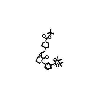 CC(C)(C)OC(=O)N1CCC(CCN2CCCN(c3cccc(B4OC(C)(C)C(C)(C)O4)c3)C2=O)CC1